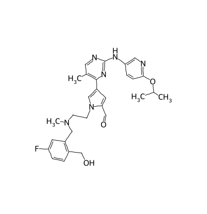 Cc1cnc(Nc2ccc(OC(C)C)nc2)nc1-c1cc(C=O)n(CCN(C)Cc2cc(F)ccc2CO)c1